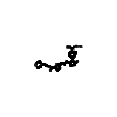 CCCCC[C@H](O)c1ccc(N2C(=O)CCC2CCCc2ccc(C(=O)OCCN3CCOCC3)s2)cc1